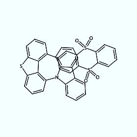 O=S1(=O)c2ccccc2S(=O)(=O)c2cc(-c3cccc4sc5cccc(-n6c7ccccc7c7ccccc76)c5c34)ccc21